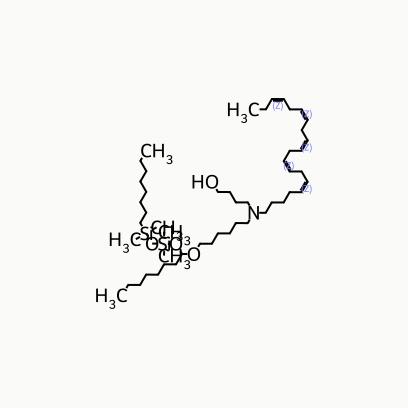 CC/C=C\C/C=C\C/C=C\C/C=C\C/C=C\CCCCN(CCCCO)CCCCCCOC(CCCCCCC)O[Si](C)(C)O[Si](C)(C)CCCCCCCC